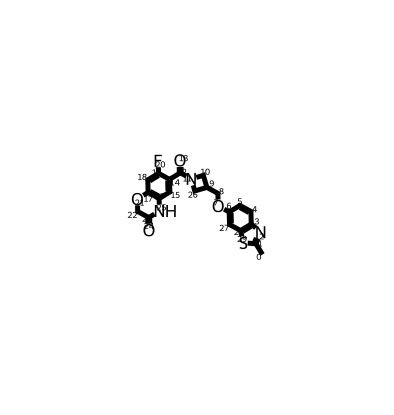 Cc1nc2ccc(OCC3CN(C(=O)c4cc5c(cc4F)OCC(=O)N5)C3)cc2s1